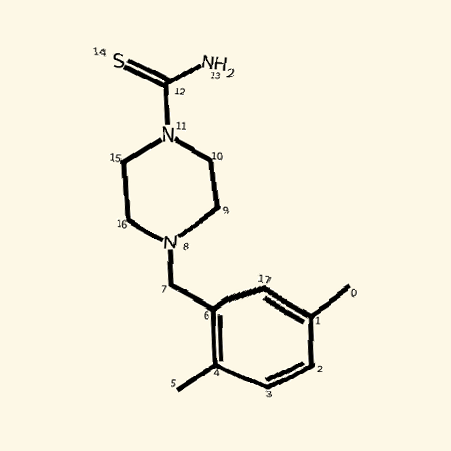 Cc1ccc(C)c(CN2CCN(C(N)=S)CC2)c1